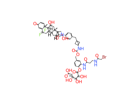 C[C@]12C=CC(=O)C=C1[C@@H](F)C[C@H]1[C@@H]3C[C@H]4CN(c5ccc(CC67CC(NC(=O)OCc8ccc(O[C@@H]9O[C@H](C(=O)O)[C@@H](O)[C@H](O)[C@H]9O)c(NC(=O)CCNC(=O)CBr)c8)(C6)C7)cc5)C[C@@]4(C(=O)CO)[C@@]3(C)C[C@H](O)[C@@]12F